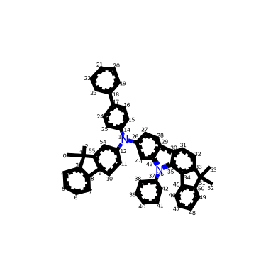 CC1(C)c2ccccc2-c2ccc(N(c3ccc(-c4ccccc4)cc3)c3ccc4c5ccc6c(c5n(-c5ccccc5)c4c3)-c3ccccc3C6(C)C)cc21